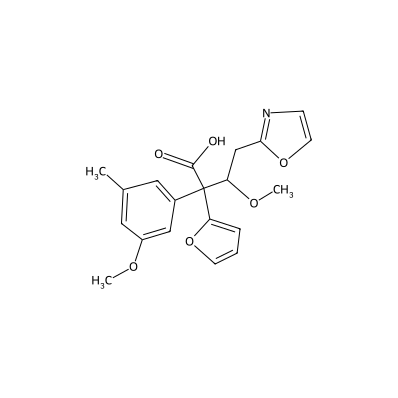 COc1cc(C)cc(C(C(=O)O)(c2ccco2)C(Cc2ncco2)OC)c1